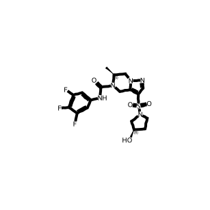 C[C@H]1Cn2ncc(S(=O)(=O)N3CC[C@@H](O)C3)c2CN1C(=O)Nc1cc(F)c(F)c(F)c1